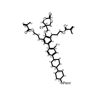 C=C(C)C(=O)OCCCc1cc(-c2ccc(C3CCC(C4CCC(CCCCC)CC4)CC3)cc2F)cc(CCCOC(=O)C(=C)C)c1OCC1(CC)COC(=O)OC1